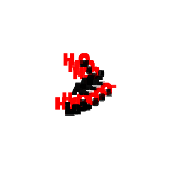 CC(=O)[O-].CC(=O)[O-].CC(=O)[O-].O.O.O.O.O.[Lu+3]